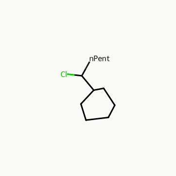 CCCCCC(Cl)C1CCCCC1